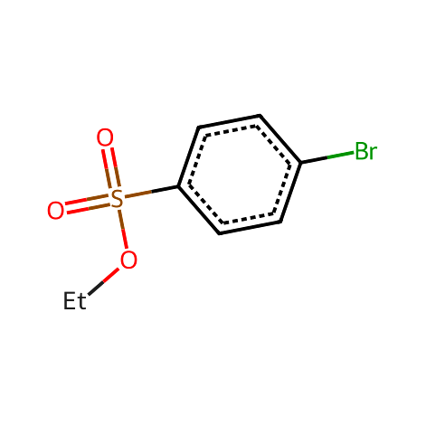 [CH2]COS(=O)(=O)c1ccc(Br)cc1